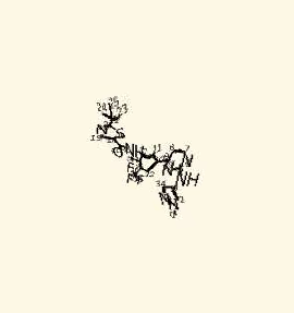 Cn1cc(Nc2nccc(-c3ccc(CNC(=O)c4cnc(C(C)(C)C)s4)c(C(F)(F)F)c3)n2)cn1